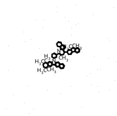 CC1=C(C2=CCCC(n3c4cc5c(cc4c4cc6ccccc6cc43)C(C)(C)CCC5(C)C)=C2)N=c2c3c(ccc2=C(C2C=C4C(=CC2)c2ccccc2C4(C)C)C1)C=CCC3